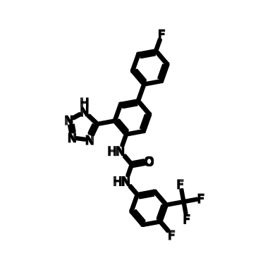 O=C(Nc1ccc(F)c(C(F)(F)F)c1)Nc1ccc(-c2ccc(F)cc2)cc1-c1nnn[nH]1